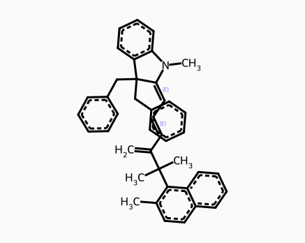 C=C(/C=C/C=C1/N(C)c2ccccc2C1(Cc1ccccc1)Cc1ccccc1)C(C)(C)c1c(C)ccc2ccccc12